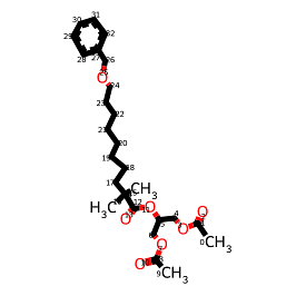 CC(=O)OCC(COC(C)=O)OC(=O)C(C)(C)CCCCCCCCOCc1ccccc1